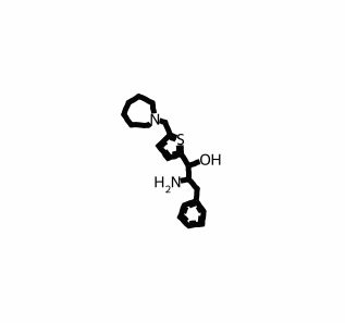 NC(Cc1ccccc1)C(O)c1ccc(CN2CCCCCC2)s1